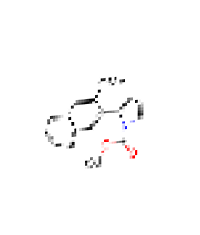 COc1cc2ccccc2cc1-c1cccn1C(=O)OC(C)(C)C